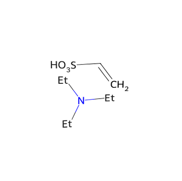 C=CS(=O)(=O)O.CCN(CC)CC